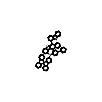 c1ccc(-c2ccc(N(c3ccc4c(c3)C3(c5ccccc5-c5ccccc53)c3ccccc3-4)c3cccc4oc5c(-c6cccc7c6sc6ccccc67)c6ccccc6cc5c34)cc2)cc1